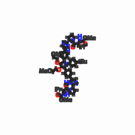 COCCO[C@H]1[C@H](OCCOC)[C@H](C2C=CC(c3cnc([C@@H]4CCCN4C(=O)[C@@H](NC(=O)OC)C(C)C)[nH]3)=CC2)N(c2ccc(C(C)(C)C)cc2)[C@H]1c1ccc(-c2cnc([C@@H]3CCCN3C(=O)[C@@H](NC(=O)OC)C(C)C)[nH]2)cc1